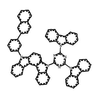 c1cc(-c2ccc3ccccc3c2)cc(-n2c3ccccc3c3c4c5ccccc5n(-c5nc(-n6c7ccccc7c7ccccc76)nc(-n6c7ccccc7c7ccccc76)n5)c4ccc32)c1